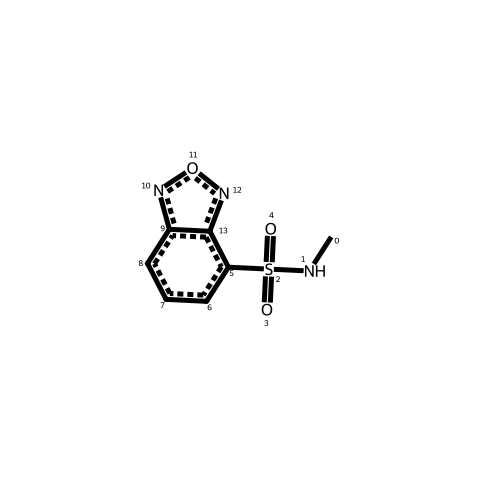 CNS(=O)(=O)c1cccc2nonc12